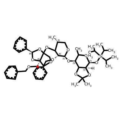 CC1O[C@@H](O[Si](C(C)C)(C(C)C)C(C)C)[C@H]2OC(C)(C)OC2[C@H]1O[C@@H]1OC[C@@H](C)C(OC23COC[C@@]2(COCc2ccccc2)O[C@@H](c2ccccc2)O3)[C@H]1OCc1ccccc1